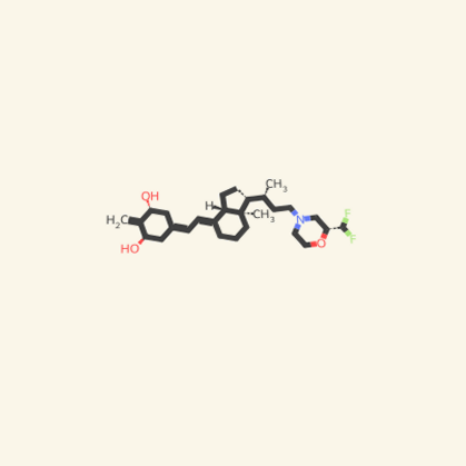 C=C1[C@H](O)CC(=C/C=C2\CCC[C@]3(C)[C@@H]([C@H](C)CCN4CCO[C@@H](C(F)F)C4)CC[C@@H]23)C[C@H]1O